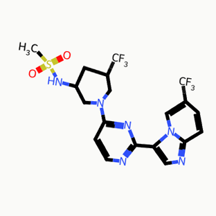 CS(=O)(=O)NC1CC(C(F)(F)F)CN(c2ccnc(-c3cnc4ccc(C(F)(F)F)cn34)n2)C1